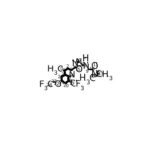 Cc1cc(-c2nnc(NCC(=O)N(C)C)o2)nc2c(C(F)(F)F)cc(OCC(F)(F)F)cc12